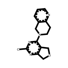 Clc1nc2c(c(N3CCc4ncccc4C3)n1)COC2